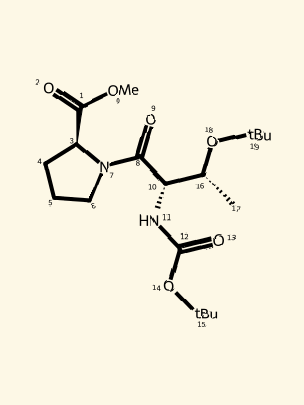 COC(=O)[C@@H]1CCCN1C(=O)[C@@H](NC(=O)OC(C)(C)C)[C@@H](C)OC(C)(C)C